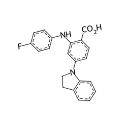 O=C(O)c1ccc(N2CCc3ccccc32)cc1Nc1ccc(F)cc1